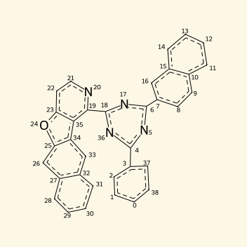 c1ccc(-c2nc(-c3ccc4ccccc4c3)nc(-c3nccc4oc5cc6ccccc6cc5c34)n2)cc1